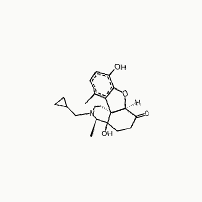 Cc1ccc(O)c2c1[C@]13CCN(CC4CC4)[C@H](C)C1(O)CCC(=O)[C@@H]3O2